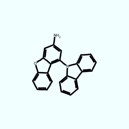 Nc1cc(-n2c3ccccc3c3ccccc32)c2c(c1)oc1ccccc12